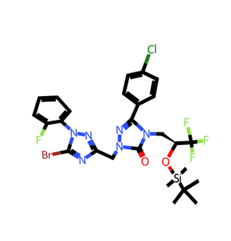 CC(C)(C)[Si](C)(C)O[C@@H](Cn1c(-c2ccc(Cl)cc2)nn(Cc2nc(Br)n(-c3ccccc3F)n2)c1=O)C(F)(F)F